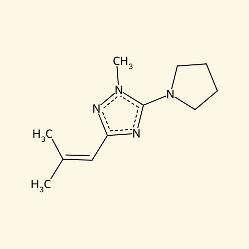 CC(C)=Cc1nc(N2CCCC2)n(C)n1